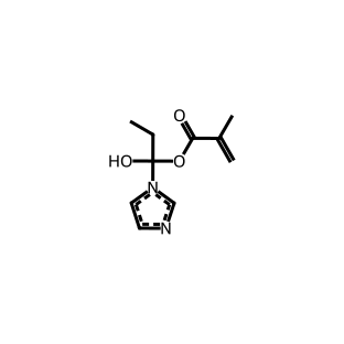 C=C(C)C(=O)OC(O)(CC)n1ccnc1